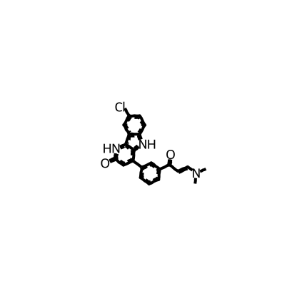 CN(C)/C=C/C(=O)c1cccc(-c2cc(=O)[nH]c3c2[nH]c2ccc(Cl)cc23)c1